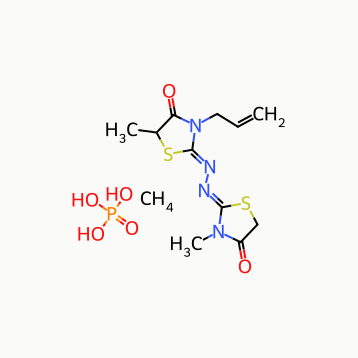 C.C=CCN1C(=O)C(C)SC1=NN=C1SCC(=O)N1C.O=P(O)(O)O